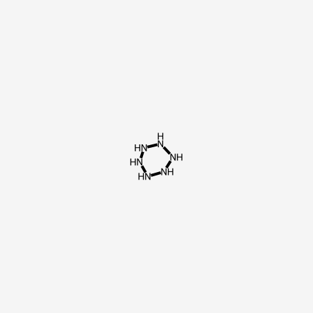 N1NNNNN1